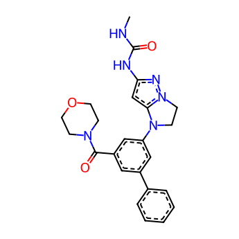 CNC(=O)Nc1cc2n(n1)CCN2c1cc(C(=O)N2CCOCC2)cc(-c2ccccc2)c1